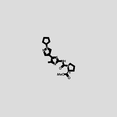 COC(=O)[C@@H]1CCCN1C(=O)Nc1nc(C)c(-c2cnn(C3CCCC3)c2)s1